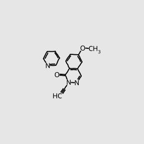 C#Cn1ncc2cc(OC)ccc2c1=O.c1ccncc1